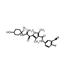 Cc1c(C(=O)Nc2ccc(F)c(C#N)c2)c(C)n(C)c1C(=O)C(=O)NC1(C)CCC(O)CC1